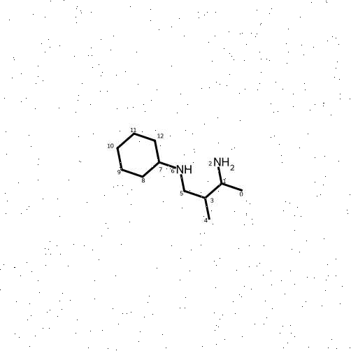 CC(N)C(C)CNC1CCCCC1